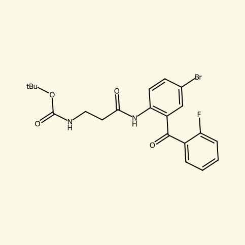 CC(C)(C)OC(=O)NCCC(=O)Nc1ccc(Br)cc1C(=O)c1ccccc1F